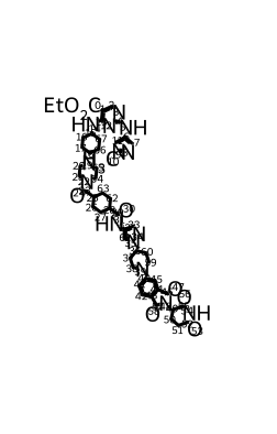 CCOC(=O)c1cnc(Nc2cnn(C)c2)nc1NC1CCC(N2CCN(C(=O)C3CCC(C(=O)Nc4cnn(C5CCN(c6ccc7c(c6)C(=O)N(C6CCC(=O)NC6=O)C7=O)CC5)c4)CC3)CC2)CC1